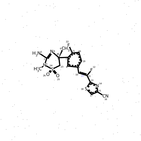 CN1C(N)=N[C@](C)(c2cc(/C=C(\F)c3nc(C#N)cs3)ccc2F)CS1(=O)=O